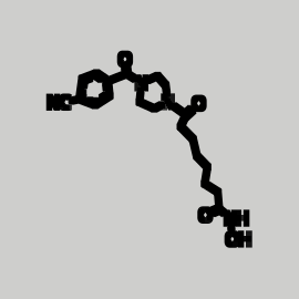 N#Cc1ccc(C(=O)N2CCN(C(=O)CCCCCCC(=O)NO)CC2)cc1